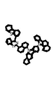 c1ccc2cc3c(cc2c1)c1ccc(-n2c4ccccc4c4ccc5ccccc5c42)cc1n3-c1cccc2c(-c3nc(-c4cccc5c4sc4ccccc45)c4ccccc4n3)cccc12